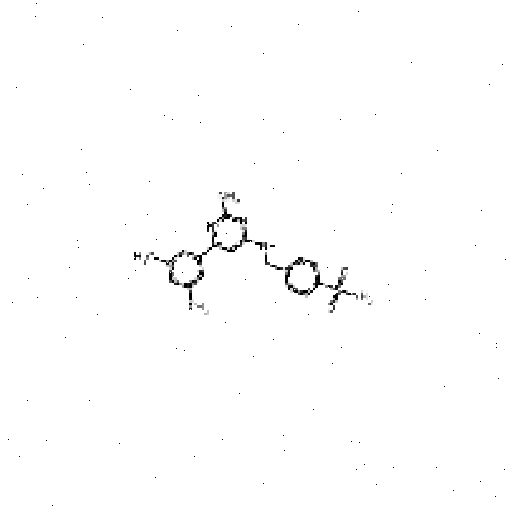 Cc1cc(C)cc(-c2cc(NCc3ccc(S(N)(=O)=O)cc3)nc(N)n2)c1